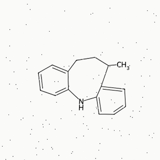 CC1CCc2ccccc2Nc2ccccc21